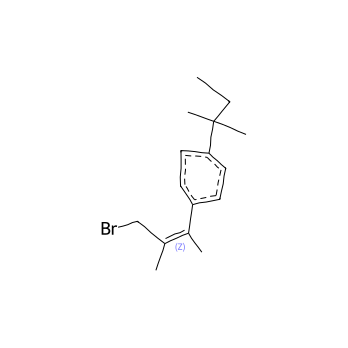 CCC(C)(C)c1ccc(/C(C)=C(/C)CBr)cc1